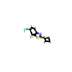 Fc1ccc2nc([C]3CCC3)sc2c1